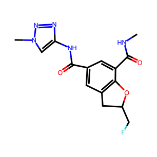 CNC(=O)c1cc(C(=O)Nc2cn(C)nn2)cc2c1OC(CF)C2